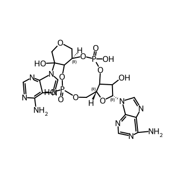 Nc1ncnc2c1ncn2[C@@H]1O[C@@H]2COP(=O)(O)OC3[C@@H](COCC3(O)n3cnc4c(N)ncnc43)OP(=O)(O)OC2C1O